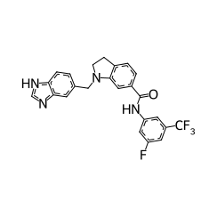 O=C(Nc1cc(F)cc(C(F)(F)F)c1)c1ccc2c(c1)N(Cc1ccc3[nH]cnc3c1)CC2